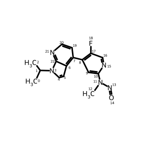 CC(C)n1ccc2c(-c3cc(N(C)N=O)ncc3F)ccnc21